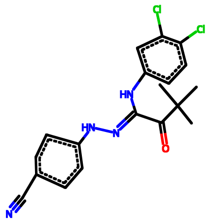 CC(C)(C)C(=O)/C(=N/Nc1ccc(C#N)cc1)Nc1ccc(Cl)c(Cl)c1